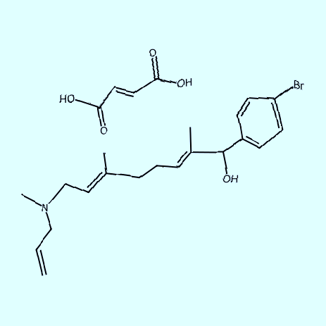 C=CCN(C)C/C=C(\C)CC/C=C(\C)C(O)c1ccc(Br)cc1.O=C(O)/C=C/C(=O)O